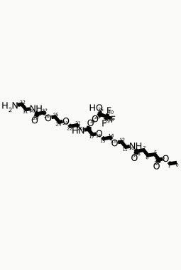 CCOC(=O)CCCC(=O)NCCOCCOCC(=O)NCCOCCOCC(=O)NCCN.O=C(O)C(F)(F)F